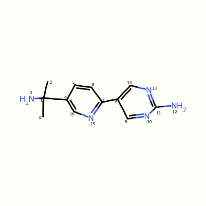 CC(C)(N)c1ccc(-c2cnc(N)nc2)nc1